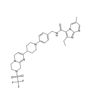 CCc1nc2ncc(C)cn2c1C(=O)NCc1ccc(N2CCC(C3=CCN4CCN(S(=O)(=O)C(F)(F)F)CC4=N3)CC2)cc1